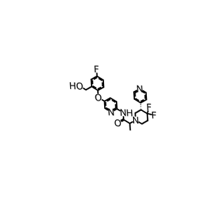 CC(C(=O)Nc1ccc(Oc2ccc(F)cc2CO)cn1)N1CCC(F)(F)[C@@H](c2ccncc2)C1